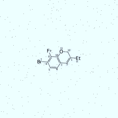 CCC1=Cc2ccc(Br)c(F)c2OC1